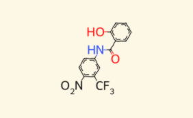 O=C(Nc1ccc([N+](=O)[O-])c(C(F)(F)F)c1)c1ccccc1O